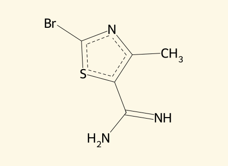 Cc1nc(Br)sc1C(=N)N